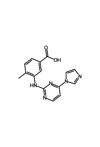 Cc1ccc(C(=O)O)cc1Nc1nccc(-n2ccnc2)n1